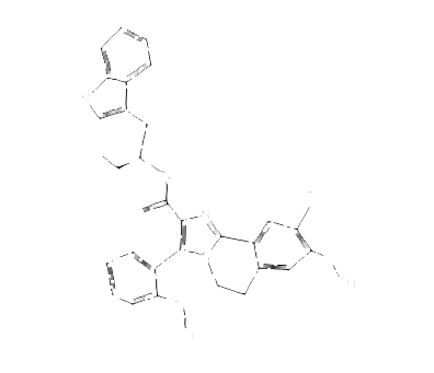 COc1cc2c(cc1OC)-c1nc(C(=O)N[C@@H](CO)Cc3c[nH]c4ccccc34)c(-c3ccccc3OC)n1CC2